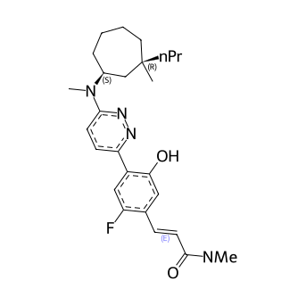 CCC[C@]1(C)CCCC[C@H](N(C)c2ccc(-c3cc(F)c(/C=C/C(=O)NC)cc3O)nn2)C1